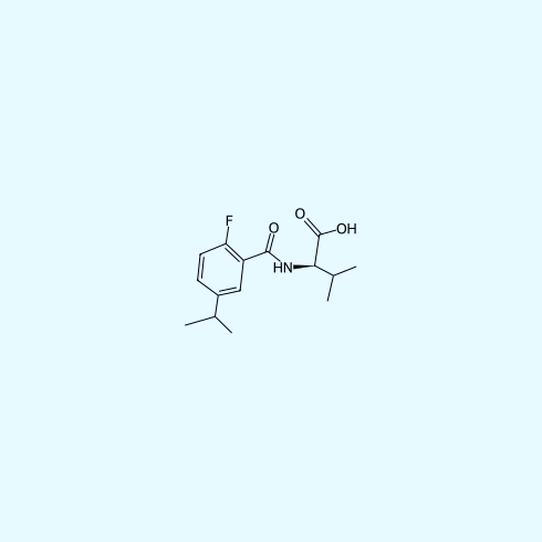 CC(C)c1ccc(F)c(C(=O)N[C@@H](C(=O)O)C(C)C)c1